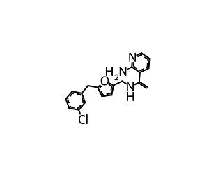 C=C(NCc1ccc(Cc2cccc(Cl)c2)o1)c1cccnc1N